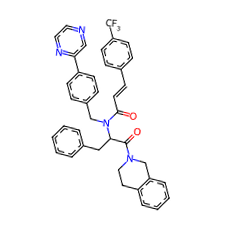 O=C(C(Cc1ccccc1)N(Cc1ccc(-c2cnccn2)cc1)C(=O)C=Cc1ccc(C(F)(F)F)cc1)N1CCc2ccccc2C1